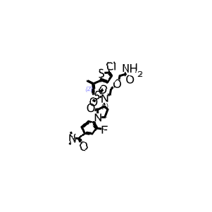 C/C(=C/S(=O)(=O)N(CCOCC(N)=O)[C@H]1CCN(c2ccc(C(=O)N(C)C)cc2F)C1=O)c1ccc(Cl)s1